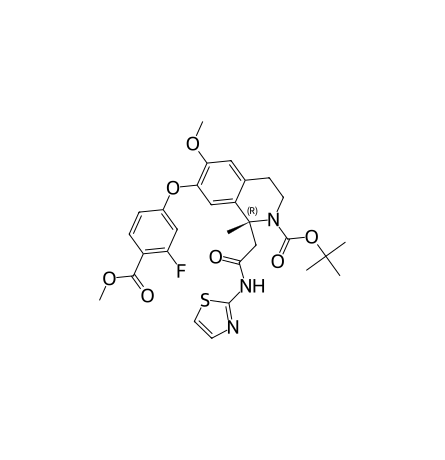 COC(=O)c1ccc(Oc2cc3c(cc2OC)CCN(C(=O)OC(C)(C)C)[C@]3(C)CC(=O)Nc2nccs2)cc1F